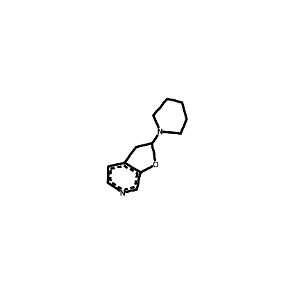 c1cc2c(cn1)OC(N1CCCCC1)C2